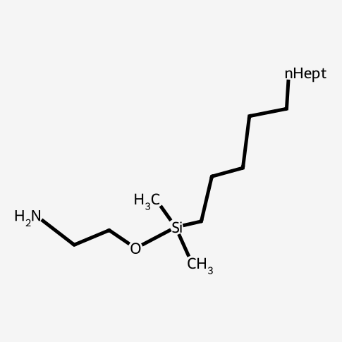 CCCCCCCCCCCC[Si](C)(C)OCCN